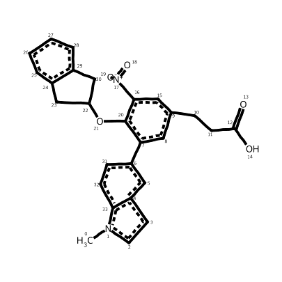 Cn1ccc2cc(-c3cc(CCC(=O)O)cc([N+](=O)[O-])c3OC3Cc4ccccc4C3)ccc21